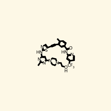 Cc1nc(Nc2ncc(C#Cc3cc(C(=O)Nc4cc(C(F)(F)F)ccn4)ccc3C)s2)cc(N2CCN(CCO)CC2)n1